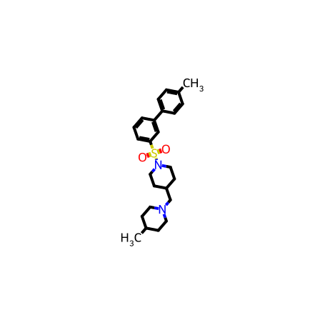 Cc1ccc(-c2cccc(S(=O)(=O)N3CCC(CN4CCC(C)CC4)CC3)c2)cc1